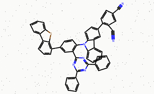 N#Cc1ccc(-c2ccc3c(c2)c2ccccc2n3-c2ccc(-c3cccc4c3sc3ccccc34)cc2-c2nc(-c3ccccc3)nc(-c3ccccc3)n2)c(C#N)c1